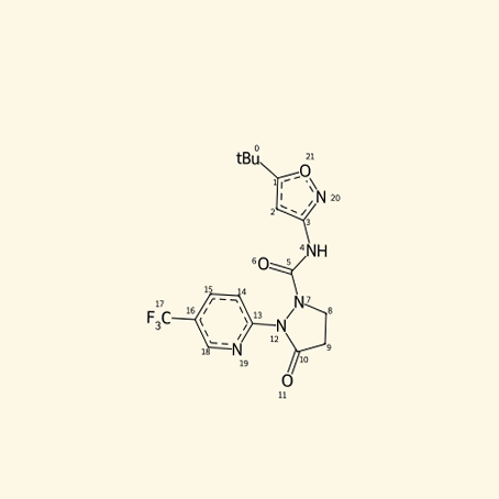 CC(C)(C)c1cc(NC(=O)N2CCC(=O)N2c2ccc(C(F)(F)F)cn2)no1